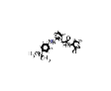 CN(C)c1ccc(/N=N/C2SC=CN2CC(=O)NC2CCSC2=O)cc1